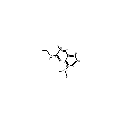 CCOc1cc2c(N(C)C)ccnc2cc1C